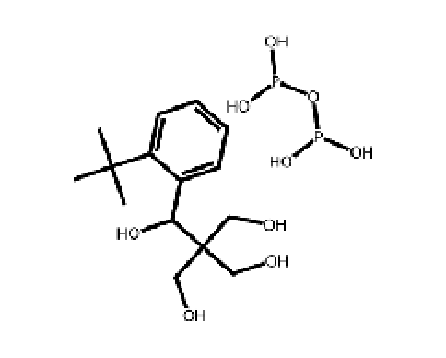 CC(C)(C)c1ccccc1C(O)C(CO)(CO)CO.OP(O)OP(O)O